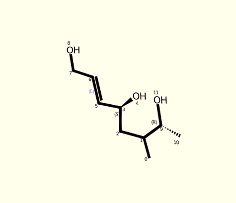 CC(C[C@H](O)/C=C/CO)[C@@H](C)O